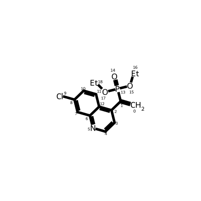 C=C(c1ccnc2cc(Cl)ccc12)P(=O)(OCC)OCC